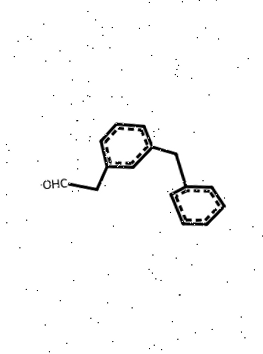 O=[C]Cc1cccc(Cc2ccccc2)c1